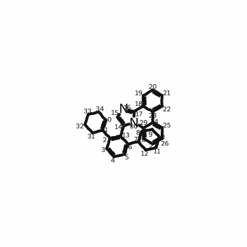 C1=C(c2cccc(C3CCCCC3)c2-c2cnc3c4ccccc4c4ccccc4n23)CCCC1